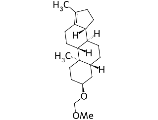 COCO[C@H]1CC[C@]2(C)[C@H](CC[C@H]3[C@H]2CCC2=C(C)CC[C@@H]23)C1